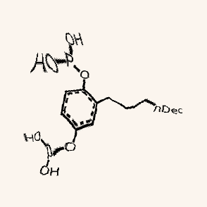 CCCCCCCCCCCCCc1cc(OP(O)O)ccc1OP(O)O